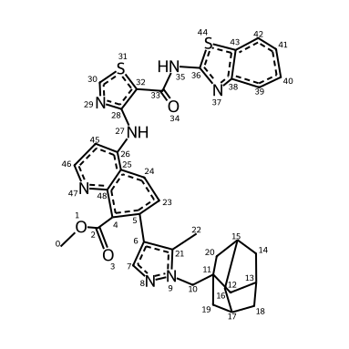 COC(=O)c1c(-c2cnn(CC34CC5CC(CC(C5)C3)C4)c2C)ccc2c(Nc3ncsc3C(=O)Nc3nc4ccccc4s3)ccnc12